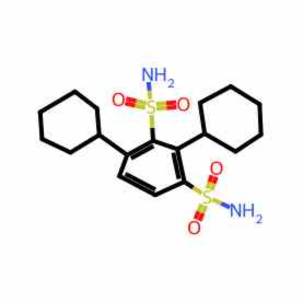 NS(=O)(=O)c1ccc(C2CCCCC2)c(S(N)(=O)=O)c1C1CCCCC1